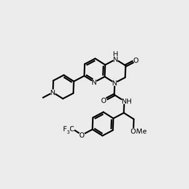 COCC(NC(=O)N1CC(=O)Nc2ccc(C3=CCN(C)CC3)nc21)c1ccc(OC(F)(F)F)cc1